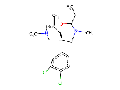 C=CC[C@](CN(C)C(=O)CC(F)(F)F)(CN(C(=O)O)C(C)(C)C)c1ccc(Cl)c(Cl)c1